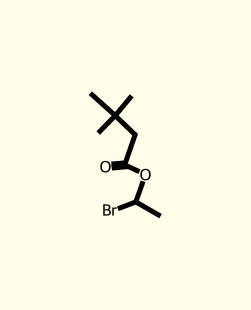 CC(Br)OC(=O)CC(C)(C)C